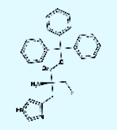 N[C@@](CF)(Cc1c[nH]cn1)C(=O)OC(c1ccccc1)(c1ccccc1)c1ccccc1